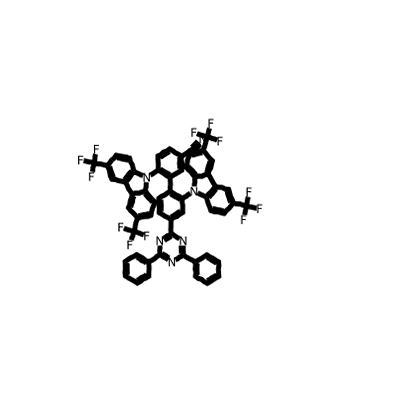 N#Cc1ccc(-n2c3ccc(C(F)(F)F)cc3c3cc(C(F)(F)F)ccc32)c(-c2ccc(-c3nc(-c4ccccc4)nc(-c4ccccc4)n3)cc2-n2c3ccc(C(F)(F)F)cc3c3cc(C(F)(F)F)ccc32)c1